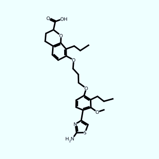 CCCc1c(OCCCOc2ccc(-c3csc(N)n3)c(OC)c2CCC)ccc2c1OC(C(=O)O)CC2